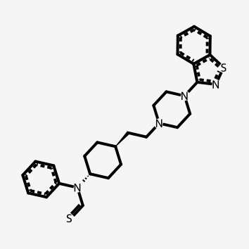 S=CN(c1ccccc1)[C@H]1CC[C@H](CCN2CCN(c3nsc4ccccc34)CC2)CC1